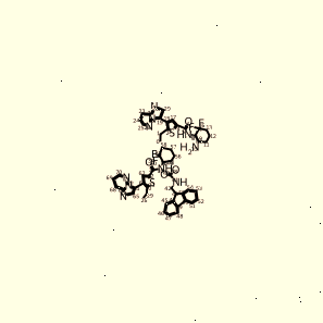 CCc1sc(C(=O)N[C@@H]2[C@@H](N)CCCC2(F)F)cc1-c1cnc2cccnn12.CCc1sc(C(=O)N[C@@H]2[C@@H](OC(=O)NCC3c4ccccc4-c4ccccc43)CCCC2(F)F)cc1-c1cnc2cccnn12